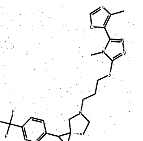 Cc1ncoc1-c1nnc(SCCCN2CC[C@@]3(CC3c3ccc(C(F)(F)F)cc3)C2)n1C